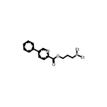 CCN(CC)CCCOC(=O)c1ccc(-c2ccccc2)cn1